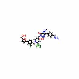 Cl.Cl.Cn1nc2c(=O)n(CC3(O)CCN(Cc4ccc(-c5ccc(CO)o5)cc4F)CC3)cnc2c1-c1ccc(CN)cc1